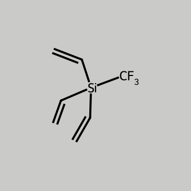 C=C[Si](C=C)(C=C)C(F)(F)F